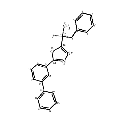 C[C@](N)(Cc1ccccc1)c1nnc(-c2cccc(-c3ccccc3)c2)o1